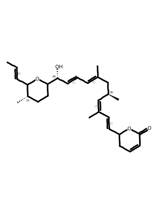 C/C=C/C1OC([C@H](O)/C=C/C=C(\C)C[C@@H](C)/C=C(C)\C=C\C2CC=CC(=O)O2)CC[C@@H]1C